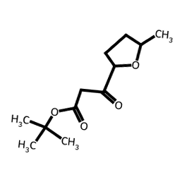 CC1CCC(C(=O)CC(=O)OC(C)(C)C)O1